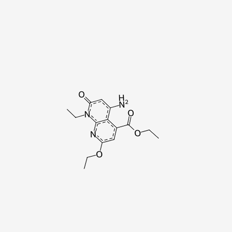 CCOC(=O)c1cc(OCC)nc2c1c(N)cc(=O)n2CC